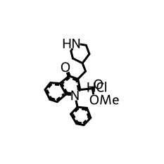 COC(=O)c1c(CC2CCNCC2)c(=O)c2ccccc2n1-c1ccccc1.Cl